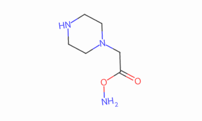 NOC(=O)CN1CCNCC1